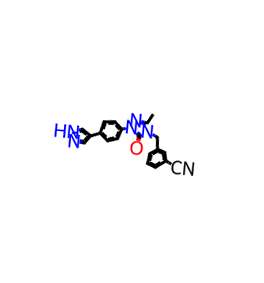 Cc1nn(-c2ccc(-c3cn[nH]c3)cc2)c(=O)n1Cc1cccc(C#N)c1